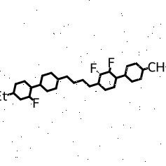 CCC1CCC(C2CCC(CCCCC3CCC(C4CCC(C)CC4)C(F)[C@H]3F)CC2)C(F)C1